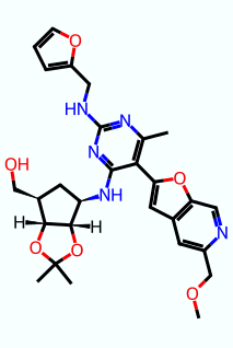 COCc1cc2cc(-c3c(C)nc(NCc4ccco4)nc3N[C@@H]3C[C@H](CO)[C@H]4OC(C)(C)O[C@H]43)oc2cn1